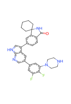 O=C1NC2(CCCCC2)c2cc(-c3c[nH]c4ncc(-c5cc(F)c(F)c(N6CCNCC6)c5)cc34)ccc21